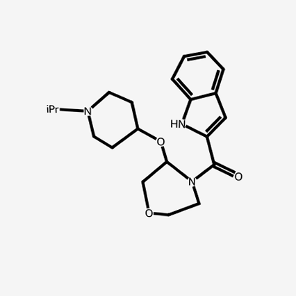 CC(C)N1CCC(OC2COCCN2C(=O)c2cc3ccccc3[nH]2)CC1